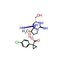 C[C@@H]1[C@@H](OC(=O)C2(c3ccc(Cl)cc3)CC2)CN2C(=N)N[C@@H](CO)C3NC(=N)N(O)C312